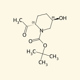 CC(=O)[C@@H]1CC[C@@H](O)CN1C(=O)OC(C)(C)C